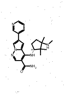 CNC1(C)CC[C@@H](Nc2c(C(N)=O)cnn3cc(-c4cccnc4)cc23)C1(C)C